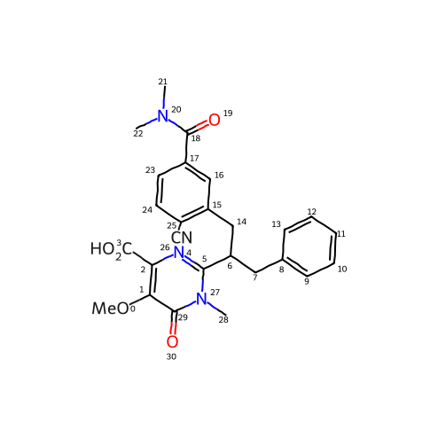 COc1c(C(=O)O)nc(C(Cc2ccccc2)Cc2cc(C(=O)N(C)C)ccc2C#N)n(C)c1=O